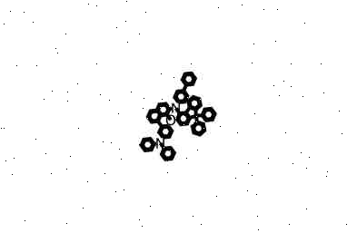 c1ccc(-c2ccc(N(c3cccc4c3-c3ccccc3C4(c3ccccc3)c3ccccc3)c3ccc4cccc5c4c3Oc3ccc(N(c4ccccc4)c4ccccc4)cc3-5)cc2)cc1